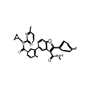 CNC(=O)c1c(-c2ccc(F)cc2)oc2ccc(-c3cc(C(=O)N(c4nccc(C)n4)C4CC4)ccc3C)cc12